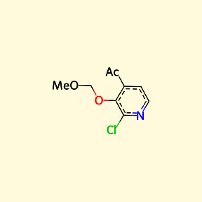 COCOc1c(C(C)=O)ccnc1Cl